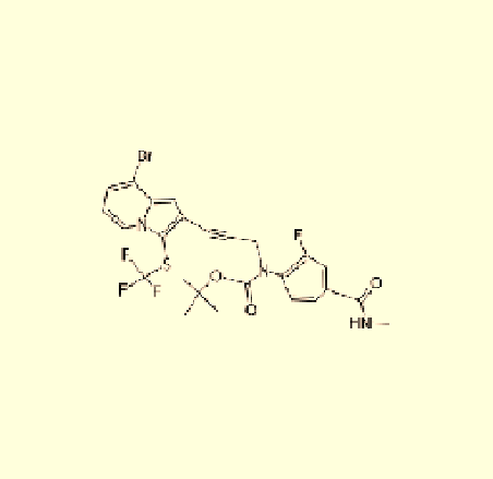 CNC(=O)c1ccc(N(CC#Cc2cc3c(Br)cccn3c2SC(F)(F)F)C(=O)OC(C)(C)C)c(F)c1